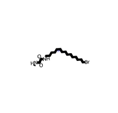 CNC(=O)C(=O)NCCCC/C=C\CCCCCCCCCBr